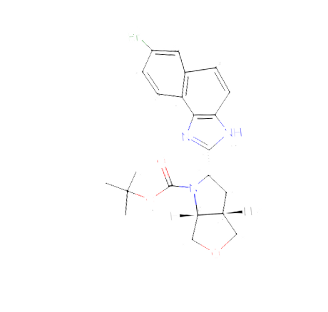 CC(C)(C)OC(=O)N1[C@H](c2nc3c(ccc4cc(Br)ccc43)[nH]2)C[C@@H]2COC[C@@H]21